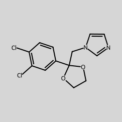 Clc1ccc(C2(Cn3ccnc3)OCCO2)cc1Cl